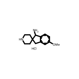 COc1ccc2c(c1)CC1(CCNCC1)C2N.Cl